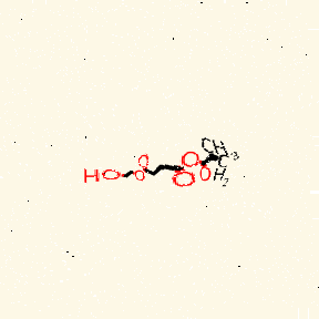 C=C(C)C(=O)OC(=O)CCC(=O)OCCO